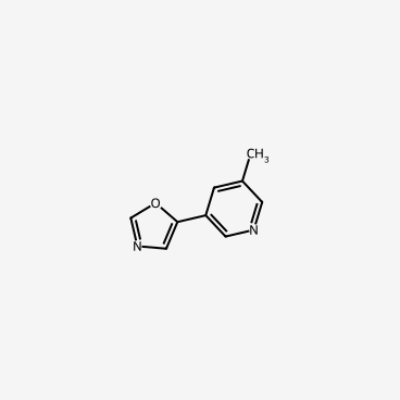 Cc1cncc(-c2cnco2)c1